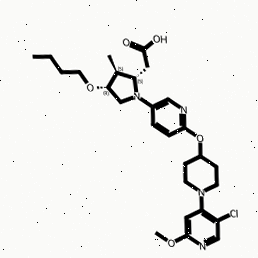 CCCCO[C@H]1CN(c2ccc(OC3CCN(c4cc(OC)ncc4Cl)CC3)nc2)[C@@H](CC(=O)O)[C@@H]1C